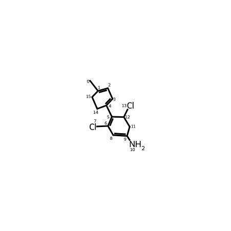 CC1=CC=C(C2=C(Cl)C=C(N)CC2Cl)CC1